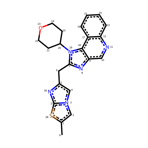 Cc1cn2cc(Cc3nc4cnc5ccccc5c4n3C3CCOCC3)nc2s1